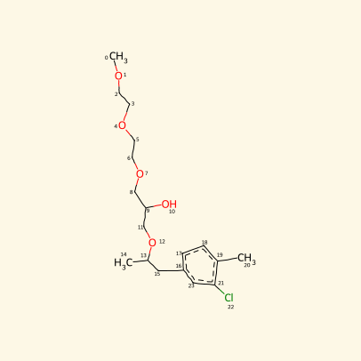 COCCOCCOCC(O)COC(C)Cc1ccc(C)c(Cl)c1